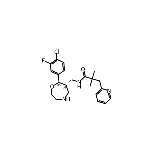 CC(C)(Cc1ccccn1)C(=O)NC[C@@H]1CNCCO[C@H]1c1ccc(Cl)c(F)c1